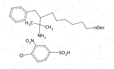 CCCCCCCCCCCCCCCCC(Cc1ccccc1)C(C)(C)N.O=[N+]([O-])c1cc(S(=O)(=O)O)ccc1Cl